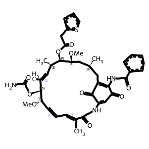 CO[C@H]1/C=C\C=C(/C)C(=O)NC2=CC(=O)C(NC(=O)c3ccccc3)=C(C[C@@H](C)C[C@H](OC)[C@H](OC(=O)Cc3cccs3)[C@@H](C)/C=C(\C)[C@@H]1OC(N)=O)C2=O